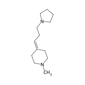 CN1CCC(=CCCN2CCCC2)CC1